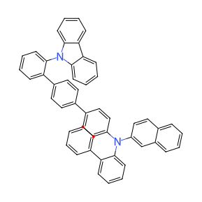 c1ccc(-c2ccccc2N(c2ccc(-c3ccc(-c4ccccc4-n4c5ccccc5c5ccccc54)cc3)cc2)c2ccc3ccccc3c2)cc1